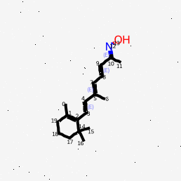 CC1=C(/C=C/C(C)=C/C=C/C(C)=N/O)C(C)(C)CCC1